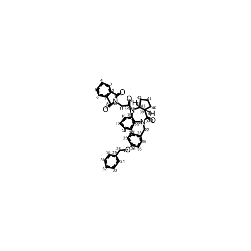 O=C1c2ccccc2C(=O)N1CC(=O)N1c2ccccc2N(Cc2ccc(OCc3ccccc3)cc2)C(=O)[C@H]2CCC[C@H]21